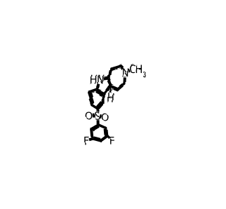 CN1CCC2Nc3ccc(S(=O)(=O)c4cc(F)cc(F)c4)cc3[C@H]2CC1